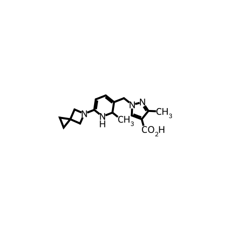 Cc1nn(CC2=CC=C(N3CC4(CC4)C3)NC2C)cc1C(=O)O